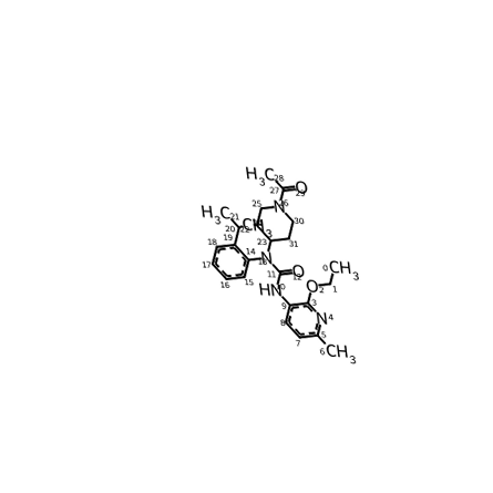 CCOc1nc(C)ccc1NC(=O)N(c1ccccc1C(C)C)C1CCN(C(C)=O)CC1